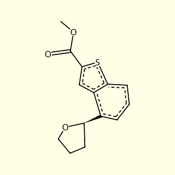 COC(=O)c1cc2c([C@H]3CCCO3)cccc2s1